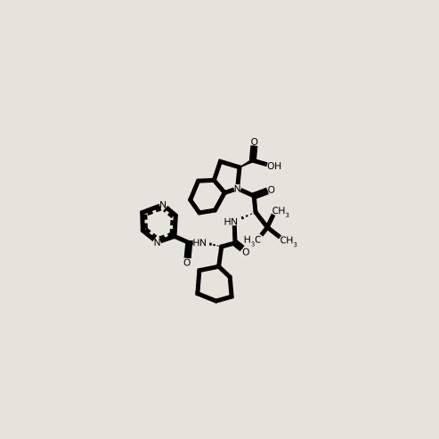 CC(C)(C)[C@H](NC(=O)[C@@H](NC(=O)c1cnccn1)C1CCCCC1)C(=O)N1C2CCCCC2C[C@H]1C(=O)O